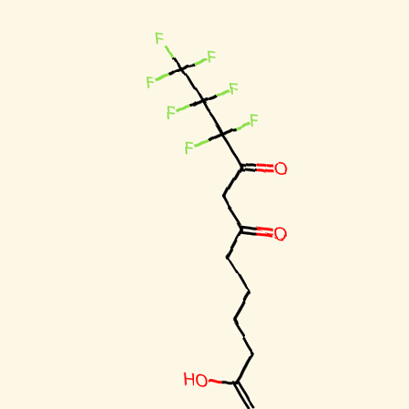 C=C(O)CCCCC(=O)CC(=O)C(F)(F)C(F)(F)C(F)(F)F